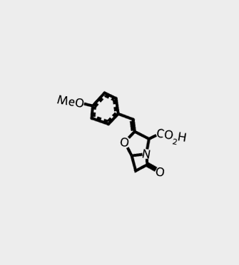 COc1ccc(/C=C2\OC3CC(=O)N3C2C(=O)O)cc1